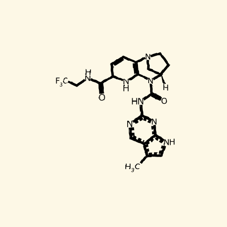 Cc1c[nH]c2nc(NC(=O)N3C4=C(C=CC(C(=O)NCC(F)(F)F)N4)N4CC[C@H]3C4)ncc12